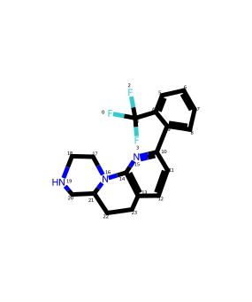 FC(F)(F)c1ccccc1-c1ccc2c(n1)N1CCNCC1CC2